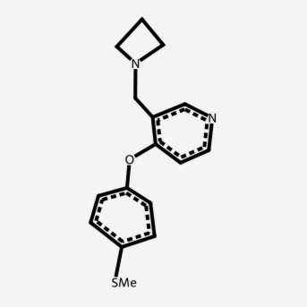 CSc1ccc(Oc2ccncc2CN2CCC2)cc1